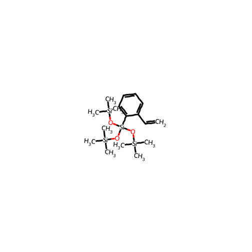 C=Cc1ccccc1[Si](O[Si](C)(C)C)(O[Si](C)(C)C)O[Si](C)(C)C